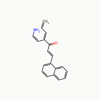 C=C/C=C(\C=C/N)C(=O)/C=C/c1cccc2ccccc12